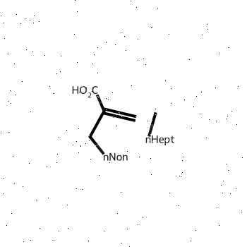 C=C(CCCCCCCCCC)C(=O)O.CCCCCCCC